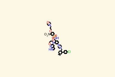 CC1(C)CCC(CN2CCN(c3ccc(C(=O)NS(=O)(=O)c4ccc(OCCCN5CCOCC5)c([N+](=O)[O-])c4)c(N4CCCOc5nc6[nH]ccc6cc54)c3)CC2)=C(c2ccc(Cl)cc2)C1